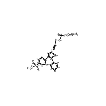 CN(O)C(=S)SCC#Cn1cc(-c2ccc(S(C)(=O)=O)cc2)c(-c2ccccc2)n1